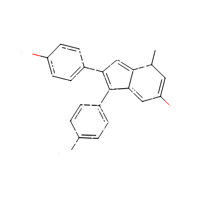 Cc1ccc(C2=C(c3ccc(O)cc3)C=C3C2=CC(O)=CC3C)cc1